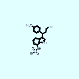 CCS(=O)(=O)Nc1cccc2c(C(CCC#N)c3ccc(C)cc3)c[nH]c12